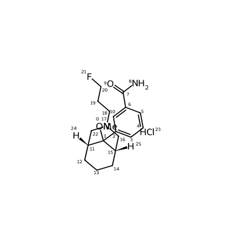 COC1(c2cccc(C(N)=O)c2)[C@@H]2CCC[C@H]1CN(CCCF)C2.Cl